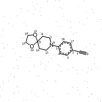 C#Cc1ccc(N2CCC3(CC2)OCCO3)cc1